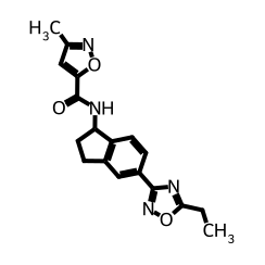 CCc1nc(-c2ccc3c(c2)CCC3NC(=O)c2cc(C)no2)no1